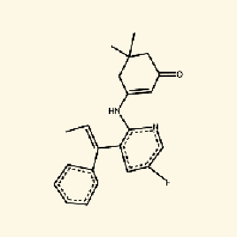 C/C=C(\c1ccccc1)c1cc(F)cnc1NC1=CC(=O)CC(C)(C)C1